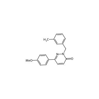 COc1ccc(-c2ccc(=O)n(Cc3cccc(C)c3)n2)cc1